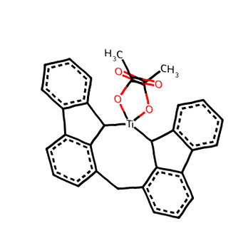 CC(=O)[O][Ti]1([O]C(C)=O)[CH]2c3ccccc3-c3cccc(c32)Cc2cccc3c2[CH]1c1ccccc1-3